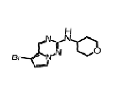 Brc1ccn2nc(NC3CCOCC3)ncc12